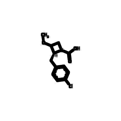 COC1CN(C(=O)O)[C@H]1Cc1ccc(Cl)cc1